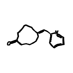 O=C1CCCC(=Cc2ccccn2)CCC1